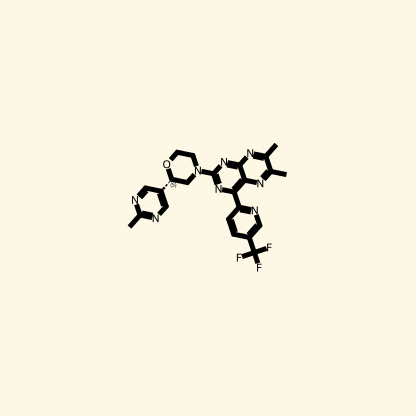 Cc1ncc([C@H]2CN(c3nc(-c4ccc(C(F)(F)F)cn4)c4nc(C)c(C)nc4n3)CCO2)cn1